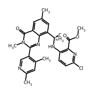 COC(=O)c1nc(Cl)ccc1N[C@H](C)c1cc(C)cc2c(=O)n(C)c(-c3cnc(C)cc3C)nc12